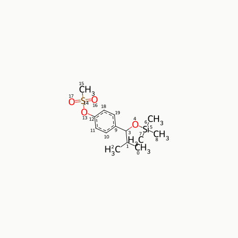 CC(C)C(O[Si](C)(C)C)c1ccc(OS(C)(=O)=O)cc1